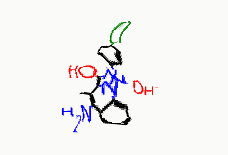 Cc1c(N)c2ccccc2[n+]2nn(-c3ccc(Cl)cc3)c(O)c12.[OH-]